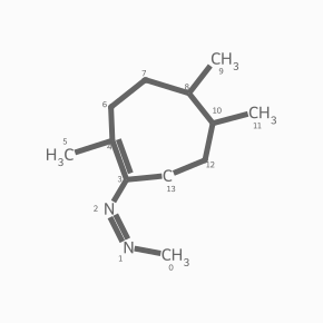 C/N=N\C1=C(/C)CCC(C)C(C)CC1